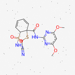 COc1cc(OC)nc(NC(=O)C2(SCC#N)C=CC=CC2S(N)(=O)=O)n1